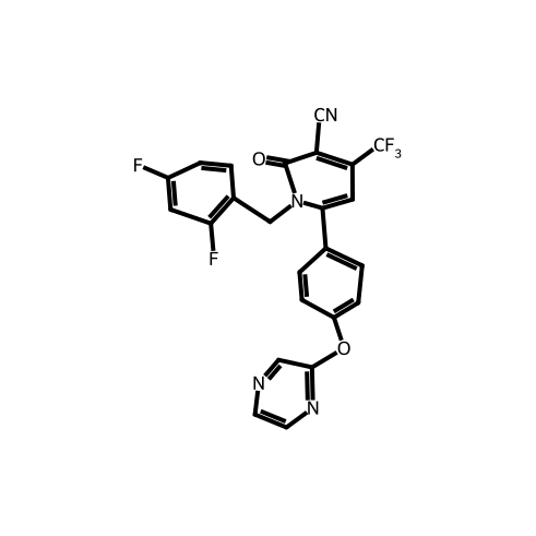 N#Cc1c(C(F)(F)F)cc(-c2ccc(Oc3cnccn3)cc2)n(Cc2ccc(F)cc2F)c1=O